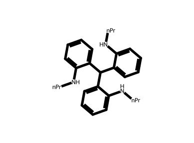 CCCNc1ccccc1[C](c1ccccc1NCCC)c1ccccc1NCCC